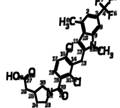 Cc1cc(C(F)(F)F)cc2c1cc(Cc1c(Cl)ccc(C(=O)N3CCC(CC(=O)O)C3)c1Cl)n2C